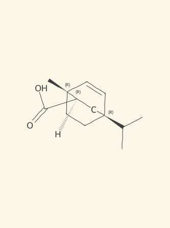 CC(C)[C@@]12C=C[C@@](C)(CC1)[C@H](C(=O)O)C2